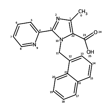 Cc1nc(-c2ccccn2)n(Cc2cccc3ccccc23)c1C(=O)O